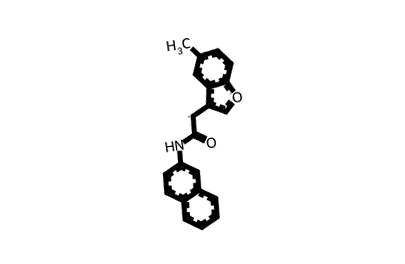 Cc1ccc2occ([CH]C(=O)Nc3ccc4ccccc4c3)c2c1